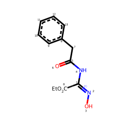 CCOC(=O)/C(=N\O)NC(=O)Cc1ccccc1